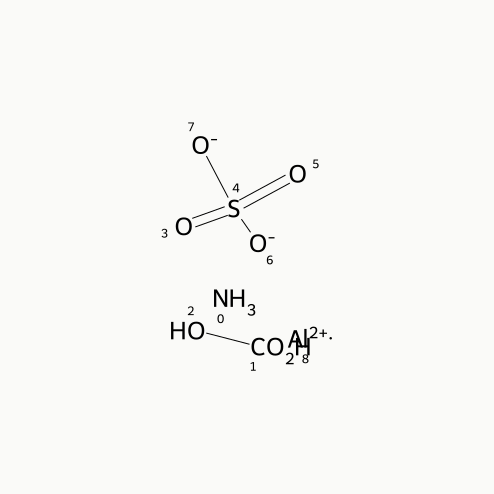 N.O=C(O)O.O=S(=O)([O-])[O-].[Al+2]